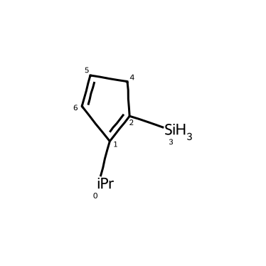 CC(C)C1=C([SiH3])CC=C1